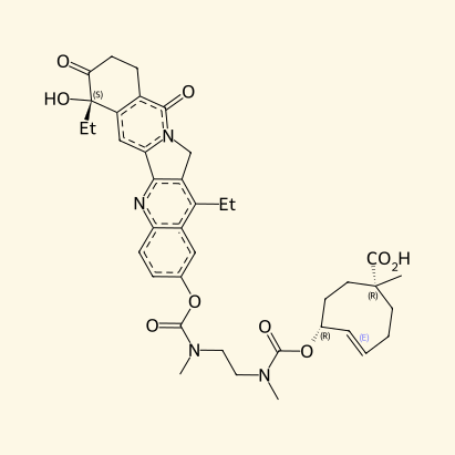 CCc1c2c(nc3ccc(OC(=O)N(C)CCN(C)C(=O)O[C@H]4/C=C/CC[C@@](C)(C(=O)O)CC4)cc13)-c1cc3c(c(=O)n1C2)CCC(=O)[C@]3(O)CC